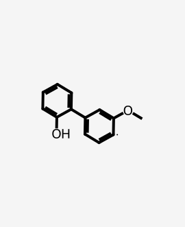 COc1[c]ccc(-c2ccccc2O)c1